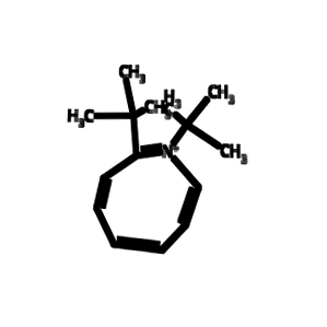 CC(C)(C)C1=[N+](C(C)(C)C)/C=C\C=C/C=C\1